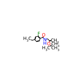 C=C(CNC(=O)c1ccc(CC)cc1F)OC(C)(C)C